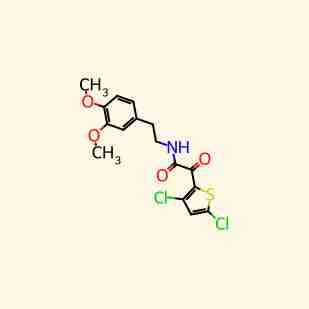 COc1ccc(CCNC(=O)C(=O)c2sc(Cl)cc2Cl)cc1OC